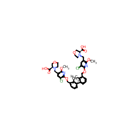 COc1nc(OCc2cccc(-c3cccc(COc4nc(OC)c(CN5CCOC[C@H]5C(=O)O)cc4Cl)c3C)c2C)c(Cl)cc1CN1CCOCC1C(=O)O